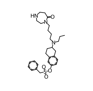 CCCN(CCCCN1CCNCCC1=O)C1CCc2cc(OS(=O)(=O)Cc3ccccc3)ccc2C1